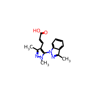 Cc1nn(C)c(-n2nc(C)c3ccccc32)c1C=CC(=O)O